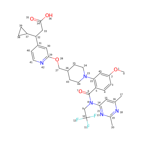 COc1ccc(C(=O)N(CC(F)(F)F)c2cc(C)nc(C)n2)c(N2CCC(COc3cc(C(CC(=O)O)C4CC4)ccn3)CC2)c1